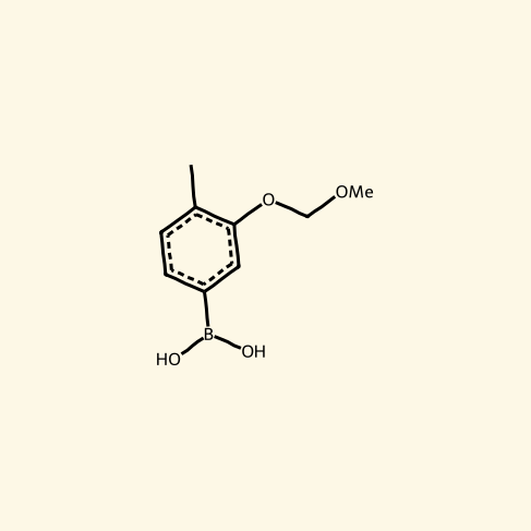 COCOc1cc(B(O)O)ccc1C